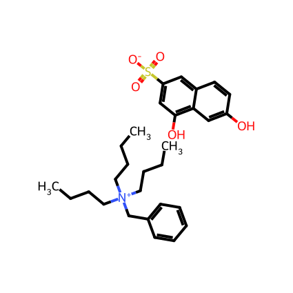 CCCC[N+](CCCC)(CCCC)Cc1ccccc1.O=S(=O)([O-])c1cc(O)c2cc(O)ccc2c1